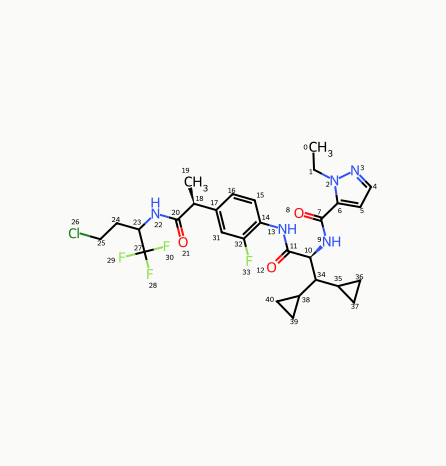 CCn1nccc1C(=O)N[C@H](C(=O)Nc1ccc([C@H](C)C(=O)NC(CCCl)C(F)(F)F)cc1F)C(C1CC1)C1CC1